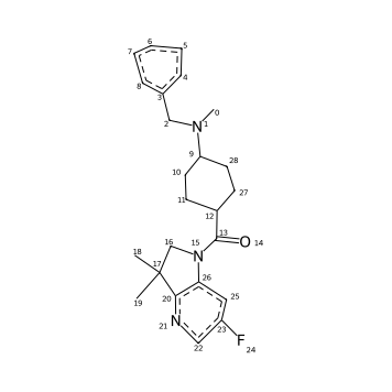 CN(Cc1ccccc1)C1CCC(C(=O)N2CC(C)(C)c3ncc(F)cc32)CC1